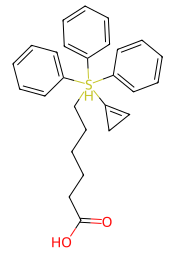 O=C(O)CCCCC[SH](C1=CC1)(c1ccccc1)(c1ccccc1)c1ccccc1